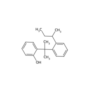 CCC(C)c1ccccc1C(C)(C)c1ccccc1O